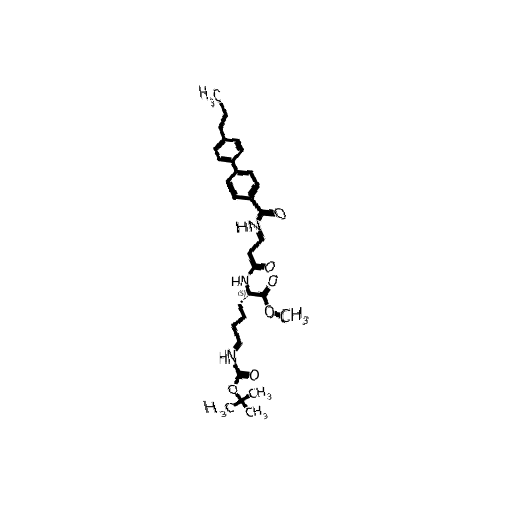 CCCc1ccc(-c2ccc(C(=O)NCCC(=O)N[C@@H](CCCCNC(=O)OC(C)(C)C)C(=O)OC)cc2)cc1